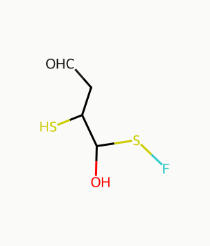 O=CCC(S)C(O)SF